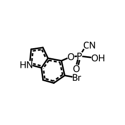 N#CP(=O)(O)Oc1c(Br)ccc2[nH]ccc12